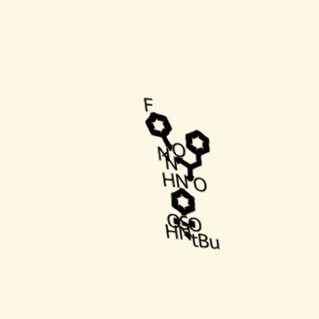 CC(C)(C)NS(=O)(=O)c1ccc(NC(=O)C(Cc2ccccc2)c2nnc(-c3ccc(F)cc3)o2)cc1